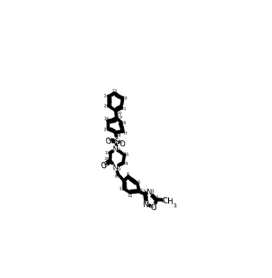 Cc1nc(-c2ccc(CN3CCN(S(=O)(=O)c4ccc(-c5ccccc5)cc4)CC3=O)cc2)no1